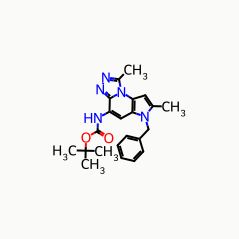 Cc1cc2c(cc(NC(=O)OC(C)(C)C)c3nnc(C)n32)n1Cc1ccccc1